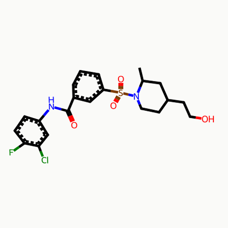 CC1CC(CCO)CCN1S(=O)(=O)c1cccc(C(=O)Nc2ccc(F)c(Cl)c2)c1